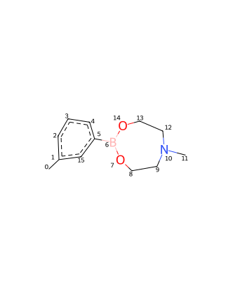 Cc1cccc(B2OCCN(C)CCO2)c1